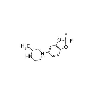 CC1CN(c2ccc3c(c2)OC(F)(F)O3)CCN1